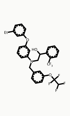 CCc1cccc(Oc2cccc(N(Cc3cccc(OC(F)(F)C(F)F)c3)CC(O)c3ccccc3C(F)(F)F)c2)c1